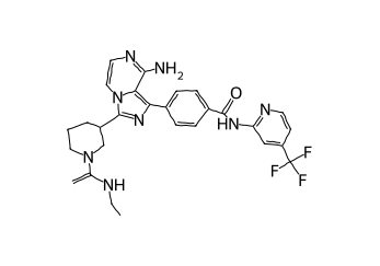 C=C(NCC)N1CCCC(c2nc(-c3ccc(C(=O)Nc4cc(C(F)(F)F)ccn4)cc3)c3c(N)nccn23)C1